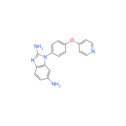 Nc1ccc2nc(N)n(-c3ccc(Oc4ccncc4)cc3)c2c1